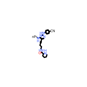 CCCNc1nc(Nc2ccc(C#N)cc2)ncc1C#CCCCNC(=O)C1CCCCN1